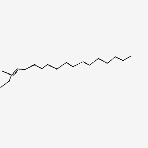 CCCCCCCCCCCCCCC=C(C)CC